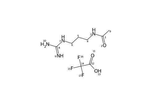 CC(=O)NCCCNC(=N)N.O=C(O)C(F)(F)F